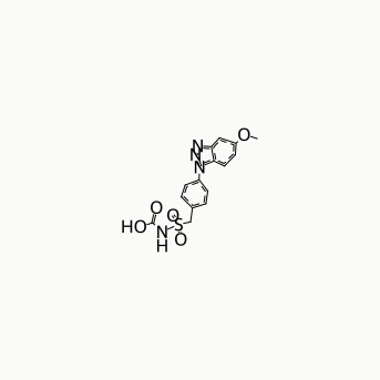 COc1ccc2c(c1)nnn2-c1ccc(CS(=O)(=O)NC(=O)O)cc1